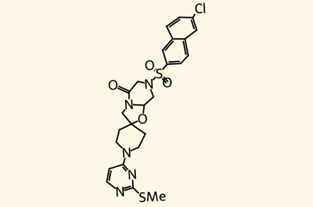 CSc1nccc(N2CCC3(CC2)CN2C(=O)CN(S(=O)(=O)c4ccc5cc(Cl)ccc5c4)CC2O3)n1